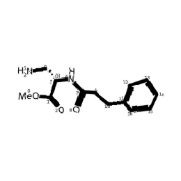 COC(=O)[C@H](CN)NC(=O)CCc1ccccc1